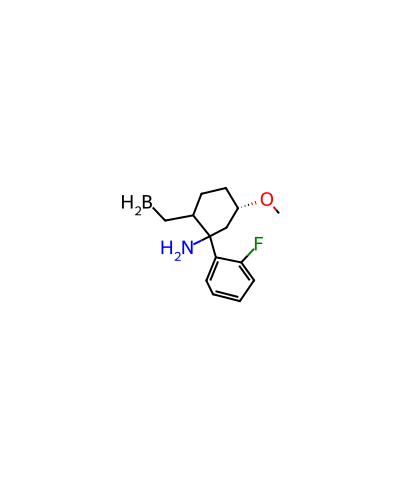 BCC1CC[C@H](OC)CC1(N)c1ccccc1F